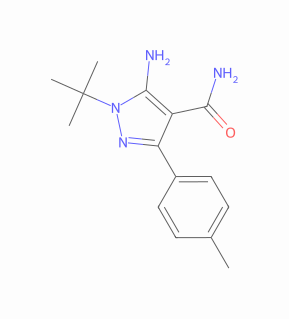 Cc1ccc(-c2nn(C(C)(C)C)c(N)c2C(N)=O)cc1